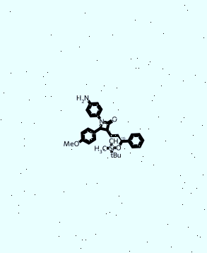 COc1ccc(C2C(CC[C@H](O[Si](C)(C)C(C)(C)C)c3ccccc3)C(=O)N2c2ccc(N)cc2)cc1